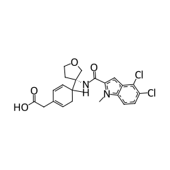 Cn1c(C(=O)N[C@]2(C3(C)C=CC(CC(=O)O)=CC3)CCOC2)cc2c(Cl)c(Cl)ccc21